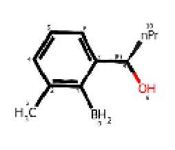 Bc1c(C)cccc1[C@H](O)CCC